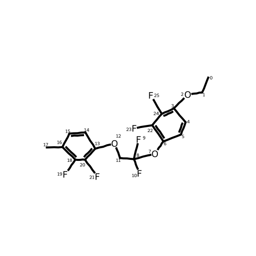 CCOc1ccc(OC(F)(F)COc2ccc(C)c(F)c2F)c(F)c1F